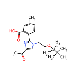 CC(=O)c1cn(CCO[Si](C)(C)C(C)(C)C)c(-c2ccc(C)cc2C(=O)O)n1